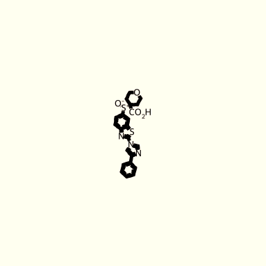 O=C(O)C1([S+]([O-])c2ccc3nc(-n4cnc(-c5ccccc5)c4)sc3c2)CCOCC1